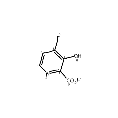 O=C(O)c1nccc(F)c1O